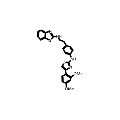 COc1ccc(-c2csc(Nc3ccc(CCNc4nc5ccccc5s4)cc3)n2)c(OC)c1